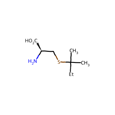 CCC(C)(C)SC[C@@H](N)C(=O)O